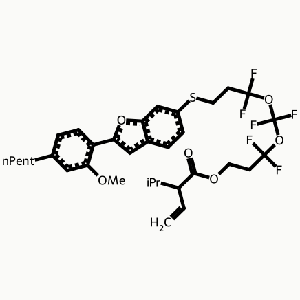 C=CC(C(=O)OCCC(F)(F)OC(F)(F)OC(F)(F)CCSc1ccc2cc(-c3ccc(CCCCC)cc3OC)oc2c1)C(C)C